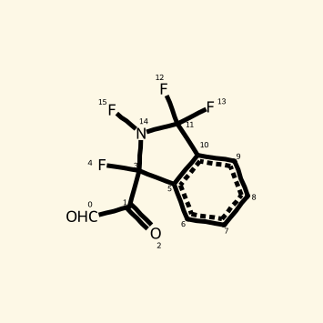 O=CC(=O)C1(F)c2ccccc2C(F)(F)N1F